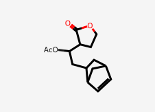 CC(=O)OC(CC1CC2C=CC1C2)C1CCOC1=O